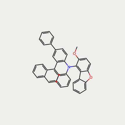 COc1ccc2oc3ccccc3c2c1N(c1ccccc1)c1ccc(-c2ccccc2)cc1-c1cccc2ccccc12